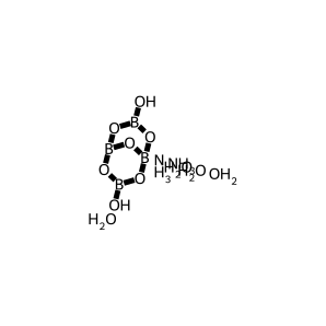 N.N.O.O.O.O.OB1OB2OB(O)OB(O1)O2